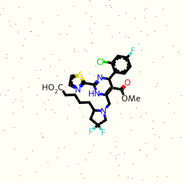 COC(=O)C1=C(CN2CC(F)(F)CC2CCCCC(=O)O)NC(c2nccs2)=NC1c1ccc(F)cc1Cl